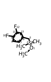 CO[Si](C)(C)Cc1ccc(F)c(F)c1